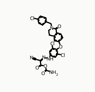 N#CC(=NNc1cc(Cl)c(Oc2ccc3c(c2)CCN(Cc2ccc(Cl)cc2)C3=O)c(Cl)c1)C(=O)OC(N)=O